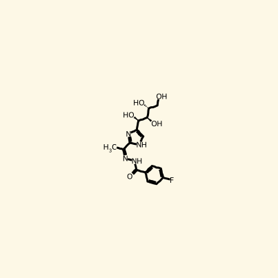 C/C(=N/NC(=O)c1ccc(F)cc1)c1nc([C@@H](O)[C@H](O)[C@H](O)CO)c[nH]1